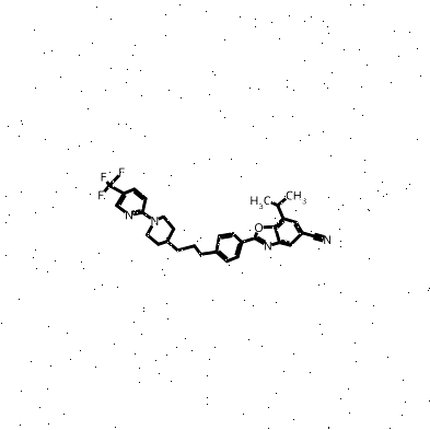 CC(C)c1cc(C#N)cc2nc(-c3ccc(CCCC4CCN(c5ccc(C(F)(F)F)cn5)CC4)cc3)oc12